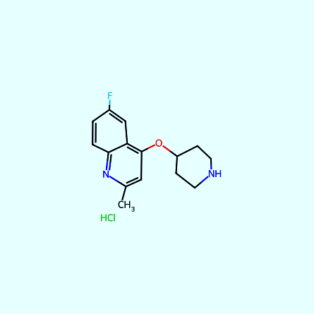 Cc1cc(OC2CCNCC2)c2cc(F)ccc2n1.Cl